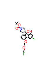 CC(C)(C)OC(=O)N1CCC(C(O)(c2ccc(F)cc2)c2cccc(OCCOCCF)c2)CC1